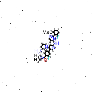 COc1cccc(F)c1-c1nccc(Nc2cc(N3CCC[C@H](N)C3)c(-c3ccc(C(=O)N(C)C)c(F)c3)cn2)n1